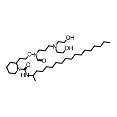 CCCCCCCCCCCCCCCCC(C)NC(=O)N1CCCCC1CCON(C=O)CCCN(CCO)CCO